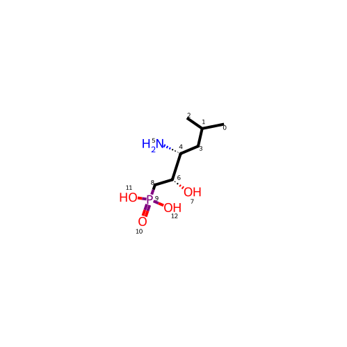 CC(C)C[C@@H](N)[C@H](O)CP(=O)(O)O